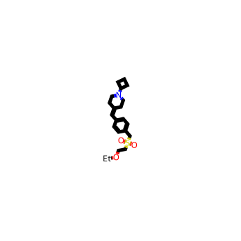 CCOCCS(=O)(=O)Cc1ccc(C=C2CCN(C3CCC3)CC2)cc1